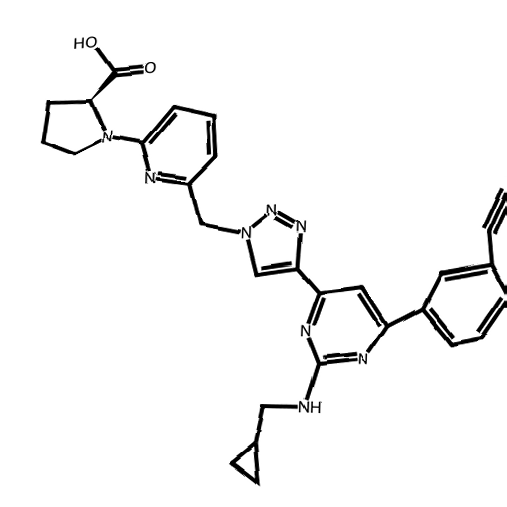 N#Cc1cccc(-c2cc(-c3cn(Cc4cccc(N5CCC[C@H]5C(=O)O)n4)nn3)nc(NCC3CC3)n2)c1